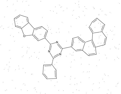 c1ccc(-c2nc(-c3ccc4c(ccc5ccc6ccccc6c54)c3)nc(-c3ccc4c(c3)oc3ccccc34)n2)cc1